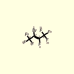 FC(=C(Br)C(F)(F)F)C(F)(F)F